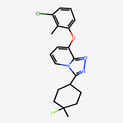 Cc1c(Cl)cccc1Oc1cccn2c(C3CCC(C)(F)CC3)nnc12